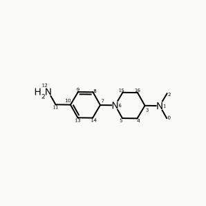 CN(C)C1CCN(C2C=CC(CN)=CC2)CC1